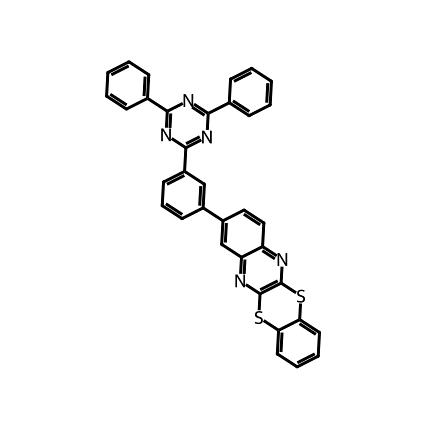 c1ccc(-c2nc(-c3ccccc3)nc(-c3cccc(-c4ccc5nc6c(nc5c4)Sc4ccccc4S6)c3)n2)cc1